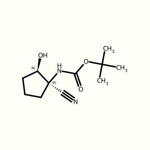 CC(C)(C)OC(=O)N[C@@]1(C#N)CCC[C@H]1O